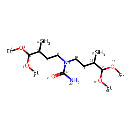 CCOC(OCC)C([SiH3])CCN(CCC([SiH3])C(OCC)OCC)C(N)=O